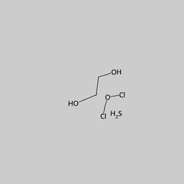 ClOCl.OCCO.S